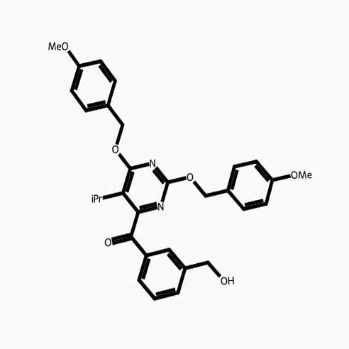 COc1ccc(COc2nc(OCc3ccc(OC)cc3)c(C(C)C)c(C(=O)c3cccc(CO)c3)n2)cc1